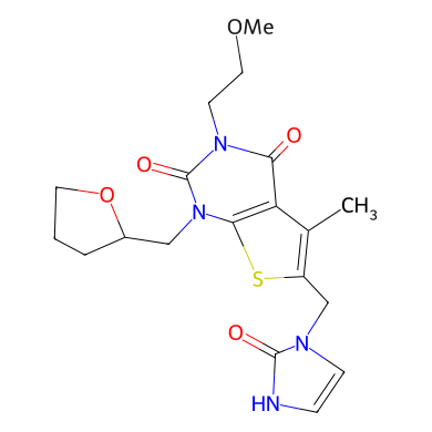 COCCn1c(=O)c2c(C)c(Cn3cc[nH]c3=O)sc2n(CC2CCCO2)c1=O